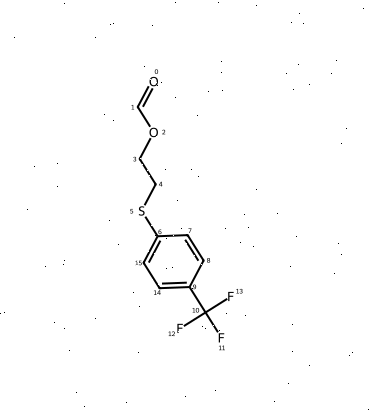 O=COCCSc1ccc(C(F)(F)F)cc1